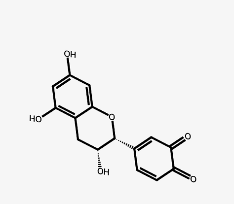 O=C1C=CC([C@H]2Oc3cc(O)cc(O)c3C[C@H]2O)=CC1=O